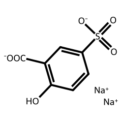 O=C([O-])c1cc(S(=O)(=O)[O-])ccc1O.[Na+].[Na+]